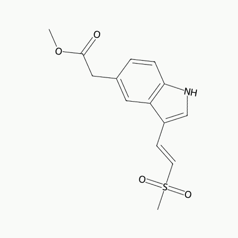 COC(=O)Cc1ccc2[nH]cc(/C=C/S(C)(=O)=O)c2c1